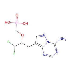 Nc1ncnc2c(CC(OCP(=O)(O)O)C(F)F)cnn12